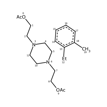 CC(=O)OCCN1CCN(CCOC(C)=O)CC1.CCc1ccccc1C